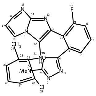 CNc1nnc(-c2cccc(F)c2-c2nc3ncccn3c2Nc2c(C)cccc2Cl)o1